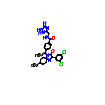 CCCC[C@H](c1ccc(C(=O)NCC2=NNNN2)cc1)N1C(=O)C(c2cc(Cl)cc(Cl)c2)=NC12CCC(C(C)(C)C)CC2